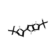 CC(C)(C)c1ccc(-c2cc3sc(C(C)(C)C)cc3s2)s1